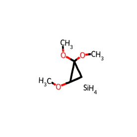 COC1CC1(OC)OC.[SiH4]